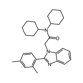 Cc1ccc(-c2nc3ccccc3n2CC(=O)N(C2CCCCC2)C2CCCCC2)c(C)c1